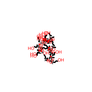 C[Si](C)(CCCO)O[Si](CCC[Si](C)(C)O[Si](O[Si](C)(C)CCC[Si](O[Si](C)(C)CCCO)(O[Si](C)(C)CCCO)O[Si](C)(C)CCCO)(O[Si](C)(C)CCC[Si](O[Si](C)(C)CCCO)(O[Si](C)(C)CCCO)O[Si](C)(C)CCCO)O[Si](C)(C)CCC[Si](O[Si](C)(C)CCCO)(O[Si](C)(C)CCCO)O[Si](C)(C)CCCO)(O[Si](C)(C)CCCO)O[Si](C)(C)CCCO